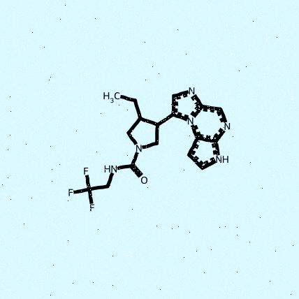 CCC1CN(C(=O)NCC(F)(F)F)CC1c1cnc2cnc3[nH]ccc3n12